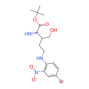 CC(C)(C)OC(=O)C(=N)C(CO)CCNc1ccc(Br)cc1[N+](=O)[O-]